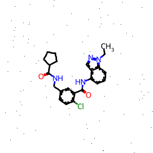 CCn1ncc2c(NC(=O)c3cc(CNC(=O)C4CCCC4)ccc3Cl)cccc21